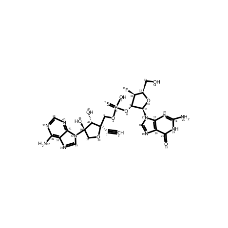 C#C[C@]1(COP(O)(=S)O[C@@H]2[C@@H](F)[C@@H](CO)O[C@H]2n2cnc3c(=O)[nH]c(N)nc32)OC[C@](O)(n2cnc3c(N)ncnc32)[C@@H]1O